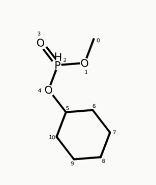 CO[PH](=O)OC1CCCCC1